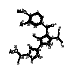 COc1ccc(C(=O)c2c(C(F)F)[nH]c(-c3nnn(C(C)OC(C)=O)n3)c2C)cc1Br